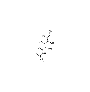 O=C(NC(=O)C(F)(F)F)[C@H](O)[C@@H](O)[C@@H](O)[C@H](O)CO